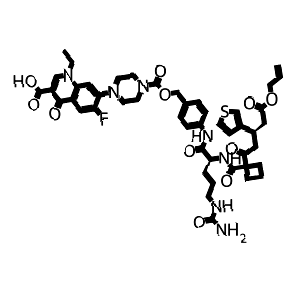 C=CCOC(=O)C[C@@H](CC(=O)C1(C(=O)N[C@@H](CCCNC(N)=O)C(=O)Nc2ccc(COC(=O)N3CCN(c4cc5c(cc4F)c(=O)c(C(=O)O)cn5CC)CC3)cc2)CCC1)c1ccsc1